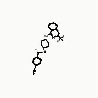 N#Cc1ccc(C(=O)N[C@H]2CC[C@@H](Nc3nc(C(F)(F)F)nc4ccccc34)CC2)cc1